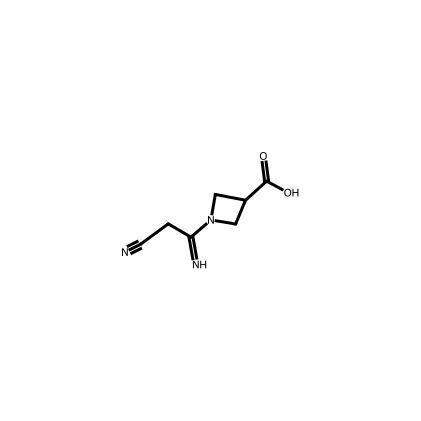 N#CCC(=N)N1CC(C(=O)O)C1